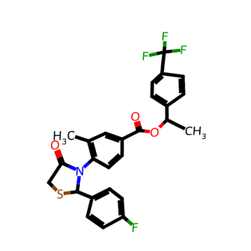 Cc1cc(C(=O)OC(C)c2ccc(C(F)(F)F)cc2)ccc1N1C(=O)CSC1c1ccc(F)cc1